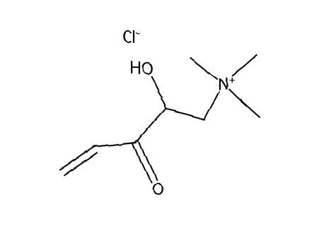 C=CC(=O)C(O)C[N+](C)(C)C.[Cl-]